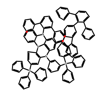 c1ccc(-c2cccc(-c3ccccc3)c2-c2ccc3c(c2)c2ccccc2n3-c2cc3c4c(c2)N(c2c(-c5ccccc5)cccc2-c2ccccc2)c2ccccc2B4c2ccc([Si](c4ccccc4)(c4ccccc4)c4ccccc4)cc2N3c2cccc([Si](c3ccccc3)(c3ccccc3)c3ccccc3)c2)cc1